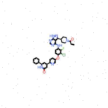 C=CC(=O)N1CCC(c2n[nH]c3ncnc(Nc4ccc(Oc5ccc(-c6cc(-c7ccccc7)[nH]c(=O)c6)nc5)c(Cl)c4F)c23)CC1